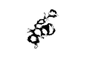 O=C(Nc1cnccn1)c1ccc(CN2C(=O)c3ccc(Cl)cc3NC(=O)C2Cc2cccnc2)cc1